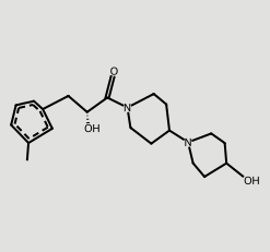 Cc1cccc(C[C@@H](O)C(=O)N2CCC(N3CCC(O)CC3)CC2)c1